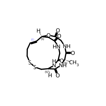 C[C@@H]1NC(=O)[C@H]2CSSCC/C=C/[C@H](CC(=O)NCC(=O)N2)OC(=O)CNC1=O